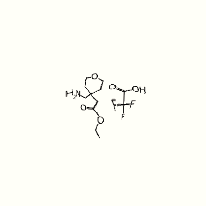 CCOC(=O)CC1(CN)CCOCC1.O=C(O)C(F)(F)F